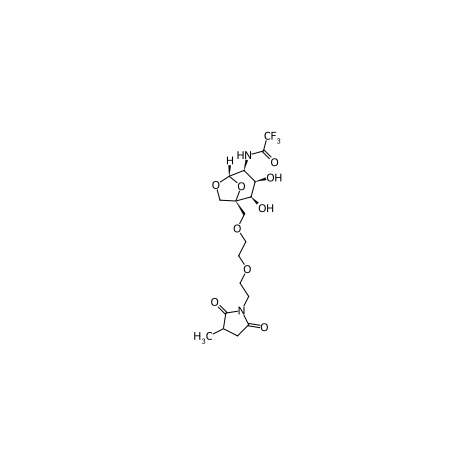 CC1CC(=O)N(CCOCCOC[C@@]23CO[C@@H](O2)[C@@H](NC(=O)C(F)(F)F)[C@@H](O)[C@H]3O)C1=O